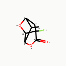 CC1C2CC3(F)C(=O)OC1C3O2